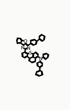 c1ccc(-c2ccc(-c3nc(-c4cccc5c4Sc4ccc(N(c6ccccc6)c6ccc(-c7ccccc7)cc6)c6cccc-5c46)nc4c3oc3ccccc34)cc2)cc1